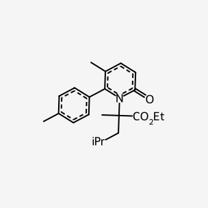 CCOC(=O)C(C)(CC(C)C)n1c(-c2ccc(C)cc2)c(C)ccc1=O